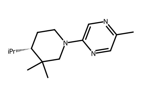 Cc1cnc(N2CC[C@@H](C(C)C)C(C)(C)C2)cn1